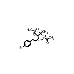 CC(=O)OC[C@H](CCc1ccc(Br)cc1)C(O[SiH](C)C)C(C)(C)C